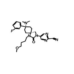 COCCCCN1C(=O)N(c2cnc(C#N)nc2)C[C@]12CC[C@@](c1cccc(F)c1)(N(C)C)CC2